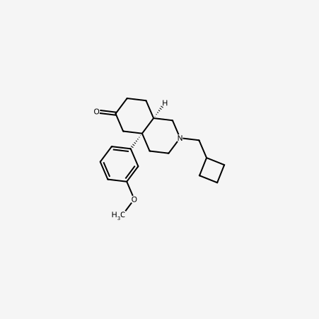 COc1cccc([C@@]23CCN(CC4CCC4)C[C@@H]2CCC(=O)C3)c1